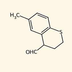 Cc1ccc2c(c1)C(C=O)CCS2